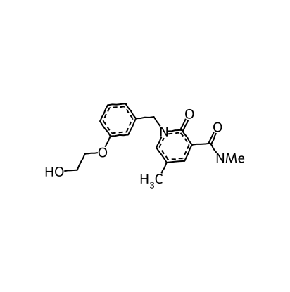 CNC(=O)c1cc(C)cn(Cc2cccc(OCCO)c2)c1=O